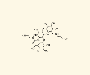 NCCN(O)C(=O)N[C@@H]1C[C@H](N)C(O[C@H]2O[C@H](CNCCCO)[C@@H](O)[C@H](O)[C@H]2O)[C@H](O)[C@H]1O[C@H]1O[C@H](CO)[C@@H](O)[C@H](N)[C@H]1O